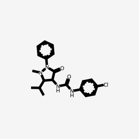 CC(C)C1C(NC(=O)Nc2ccc(Cl)cc2)C(=O)N(c2ccccc2)N1C